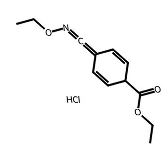 CCON=C=C1C=CC(C(=O)OCC)C=C1.Cl